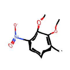 [CH2]c1ccc([N+](=O)[O-])c(OC)c1OC